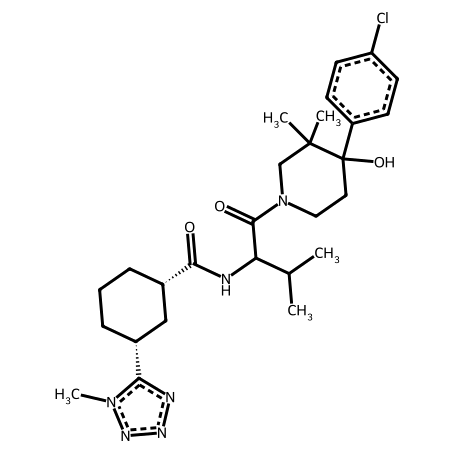 CC(C)C(NC(=O)[C@H]1CCC[C@@H](c2nnnn2C)C1)C(=O)N1CCC(O)(c2ccc(Cl)cc2)C(C)(C)C1